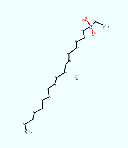 CCCCCCCCCCCCCCCCCC[N+](O)(O)CC.[Cl-]